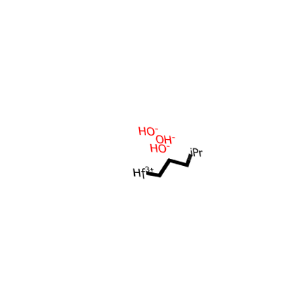 CC(C)CC[CH2][Hf+3].[OH-].[OH-].[OH-]